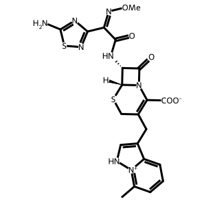 CO/N=C(\C(=O)N[C@@H]1C(=O)N2C(C(=O)[O-])=C(Cc3c[nH][n+]4c(C)cccc34)CS[C@H]12)c1nsc(N)n1